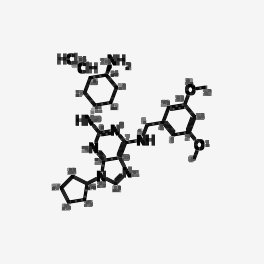 COc1cc(CNc2nc(N[C@H]3CC[C@H](N)CC3)nc3c2ncn3C2CCCC2)cc(OC)c1.Cl.Cl